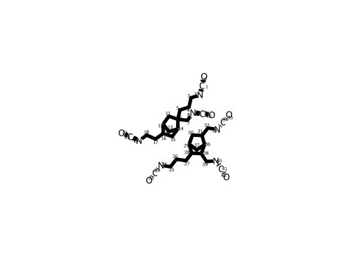 O=C=NCCCC1(CN=C=O)CC2CC1CC2CCN=C=O.O=C=NCCCC1C2CC(CN=C=O)C(C2)C1CN=C=O